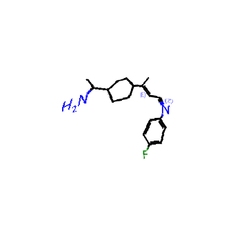 C/C(=C\C=N/c1ccc(F)cc1)C1CCC(C(C)N)CC1